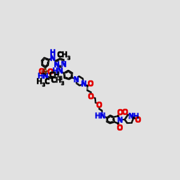 Cc1cnc(Nc2ccc(N3CCN(C(=O)CCOCCOCCNc4ccc5c(c4)C(=O)N(C4CCC(=O)NC4=O)C5=O)CC3)cc2)nc1Nc1cccc(S(=O)(=O)NC(C)(C)C)c1